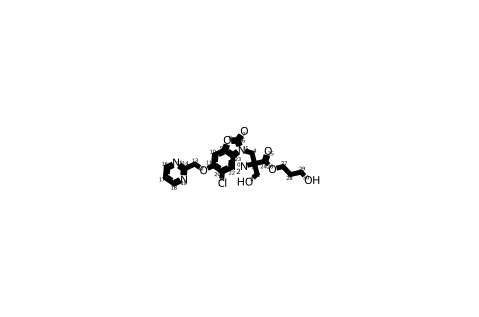 NC(CO)(Cn1c(=O)oc2cc(OCc3ncccn3)c(Cl)cc21)C(=O)OCCCO